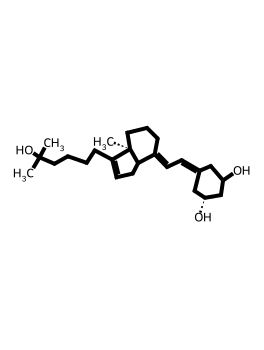 CC(C)(O)CCCCC1=CCC2/C(=C/C=C3/CC(O)C[C@H](O)C3)CCC[C@]12C